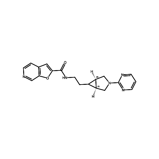 O=C(NCCC1[C@H]2CN(c3ncccn3)C[C@@H]12)c1cc2ccncc2o1